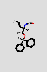 C/C=C/[C@](C)(N=C=O)[C@@H](CC)O[Si](c1ccccc1)(c1ccccc1)C(C)(C)C